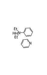 CCN(CC)c1ccccc1.[HH].c1ccncc1